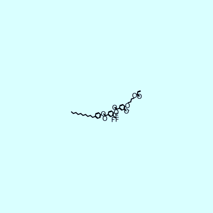 C=CC(=O)OCCCCOc1ccc(C(=O)Oc2ccc(C(=O)Oc3ccc(CCCCCCCCCC)cc3)cc2C(F)(F)F)cc1OC